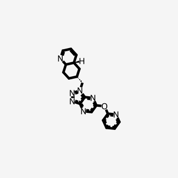 C1=C[C@@H]2C[C@H](Cn3nnc4ncc(Oc5ccccn5)nc43)CCC2N=C1